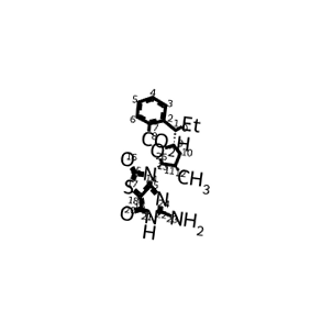 CCC(c1ccccc1C(=O)O)[C@@H]1C[C@@H](C)[C@H](n2c(=O)sc3c(=O)[nH]c(N)nc32)O1